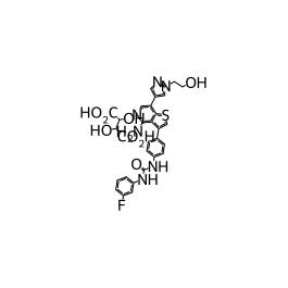 Nc1ncc(-c2cnn(CCO)c2)c2scc(-c3ccc(NC(=O)Nc4cccc(F)c4)cc3)c12.O=C(O)C(O)C(O)C(=O)O